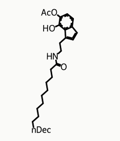 CCCCCCCCCCCCCCCCCCCC(=O)NCCC1=C=Cc2ccc(OC(C)=O)c(O)c21